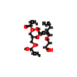 CC(=O)OCC(COC(C)=O)OC(C)=O.CCCCOCCO